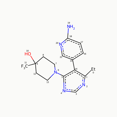 CCc1ncnc(N2CCC(O)(C(F)(F)F)CC2)c1-c1ccc(N)nc1